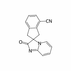 N#Cc1cccc2c1CC1(C2)C(=O)N=C2C=CC=CN21